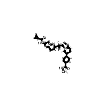 CNC(=O)c1ccc(-c2ccc3nnc(C(F)(F)c4ccc5nc(NC(=O)C6CC6)cn5n4)n3c2)cc1